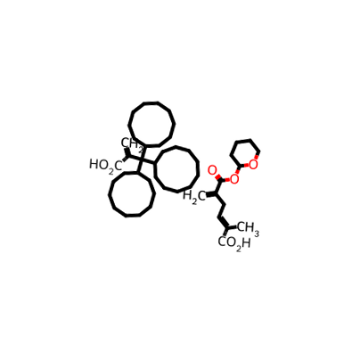 C=C(C(=O)O)C(C1CCCCCCCCC1)(C1CCCCCCCCC1)C1CCCCCCCCC1.C=C(CC=C(C)C(=O)O)C(=O)OC1CCCCO1